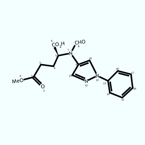 COC(=O)CC[C@@H](C(=O)O)N(C=O)c1cnn(-c2ccccc2)c1